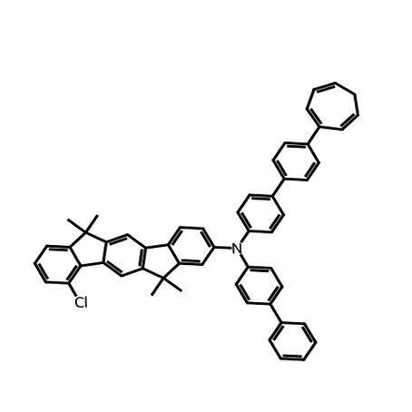 CC1(C)c2cc(N(c3ccc(-c4ccccc4)cc3)c3ccc(-c4ccc(C5=CC=CCC=C5)cc4)cc3)ccc2-c2cc3c(cc21)-c1c(Cl)cccc1C3(C)C